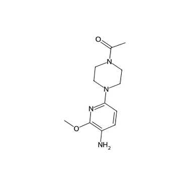 COc1nc(N2CCN(C(C)=O)CC2)ccc1N